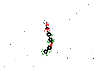 CCOCC1COC(c2ccc(-c3cc(F)c(C(F)(F)Oc4ccc(-c5cc(F)c(F)c(F)c5)c(F)c4)c(F)c3)c(F)c2)OC1